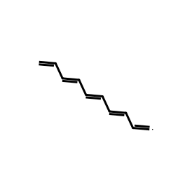 [CH]=CC=CC=CC=CC=C